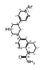 CC(=O)N1C=CC(C2CNCC(c3cnc4c(c3)CCCN4C(N)=O)C2)=CC1